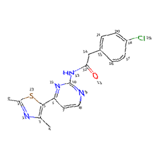 Cc1nc(C)c(-c2ccnc(NC(=O)Cc3ccc(Cl)cc3)n2)s1